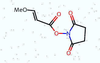 COC=CC(=O)ON1C(=O)CCC1=O